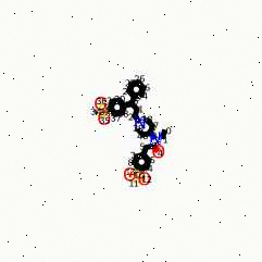 CCN(C(=O)Cc1ccc(S(C)(=O)=O)cc1)C1CCN(CCC(c2ccccc2)c2ccc(S(C)(=O)=O)cc2)CC1